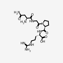 N=C(N)NCCC[C@H](NC(=O)[C@@H]1CCCN1C(=O)CNC(=O)[C@@H](N)CC(N)=O)C(=O)O